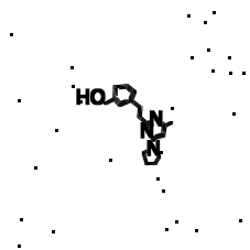 Cc1cc(N2CCCC2)nc(C=Cc2cccc(CO)c2)n1